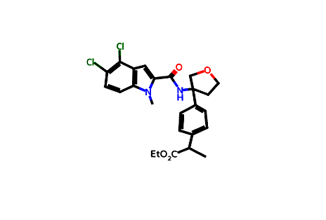 CCOC(=O)C(C)c1ccc(C2(NC(=O)c3cc4c(Cl)c(Cl)ccc4n3C)CCOC2)cc1